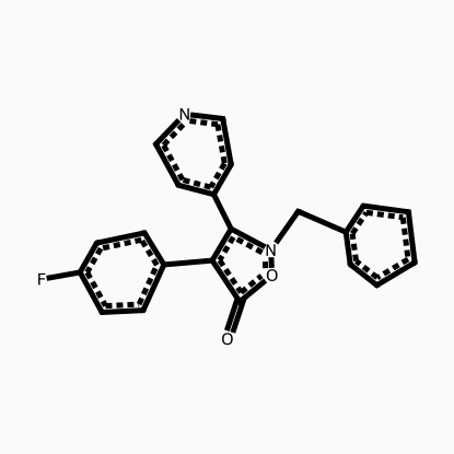 O=c1on(Cc2ccccc2)c(-c2ccncc2)c1-c1ccc(F)cc1